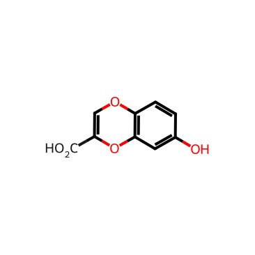 O=C(O)C1=COc2ccc(O)cc2O1